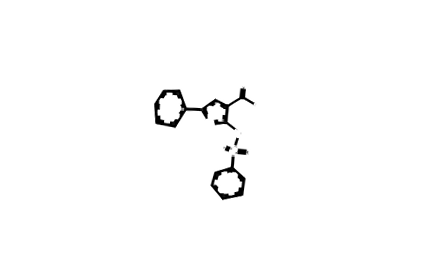 O=C(O)c1cc(-c2ccccc2)sc1NS(=O)(=O)c1ccccc1